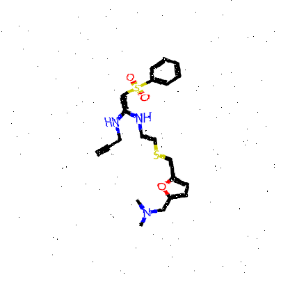 C#CCNC(=CS(=O)(=O)c1ccccc1)NCCSCc1ccc(CN(C)C)o1